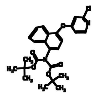 CC(C)(C)OC(=O)N(C(=O)OC(C)(C)C)c1ccc(Oc2ccnc(Cl)c2)c2ccccc12